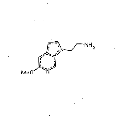 COc1cc2ccn(CCN)c2cn1